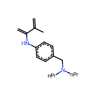 C=C(C)C(=C)Nc1ccc(CN(CCC)CCC)cc1